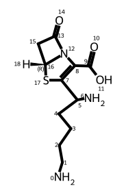 NCCCCC(N)C1=C(C(=O)O)N2C(=O)C[C@H]2S1